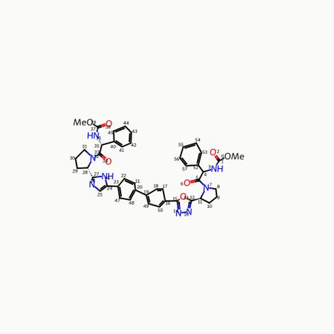 COC(=O)NC(C(=O)N1CCC[C@H]1c1nnc(-c2ccc(-c3ccc(-c4cnc([C@@H]5CCCN5C(=O)[C@H](NC(=O)OC)c5ccccc5)[nH]4)cc3)cc2)o1)c1ccccc1